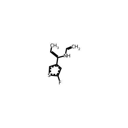 C=CN/C(=C\C)c1csc(F)c1